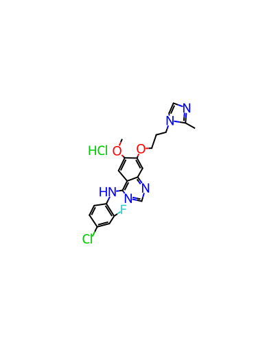 COc1cc2c(Nc3ccc(Cl)cc3F)ncnc2cc1OCCCn1ccnc1C.Cl